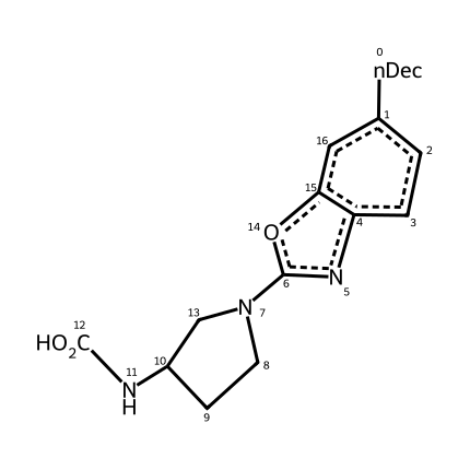 CCCCCCCCCCc1ccc2nc(N3CCC(NC(=O)O)C3)oc2c1